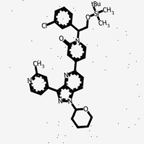 Cc1cc(-c2nn(C3CCCCO3)c3ccc(-c4ccn(C(CO[Si](C)(C)C(C)(C)C)c5cccc(Cl)c5)c(=O)c4)nc23)ccn1